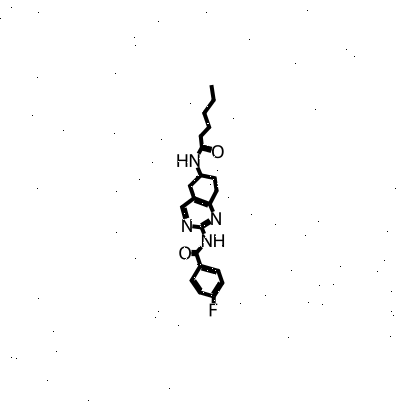 CCCCCC(=O)NC1CCc2nc(NC(=O)c3ccc(F)cc3)ncc2C1